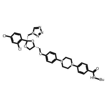 CCC(C)NC(=O)c1ccc(N2CCN(c3ccc(OC[C@@H]4CO[C@@](Cn5cnnn5)(c5ccc(Cl)cc5Cl)O4)cc3)CC2)cc1